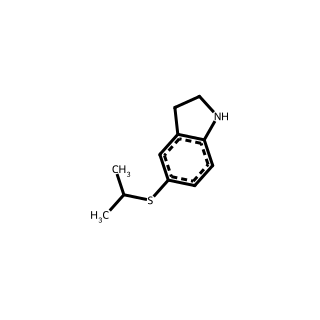 CC(C)Sc1ccc2c(c1)CCN2